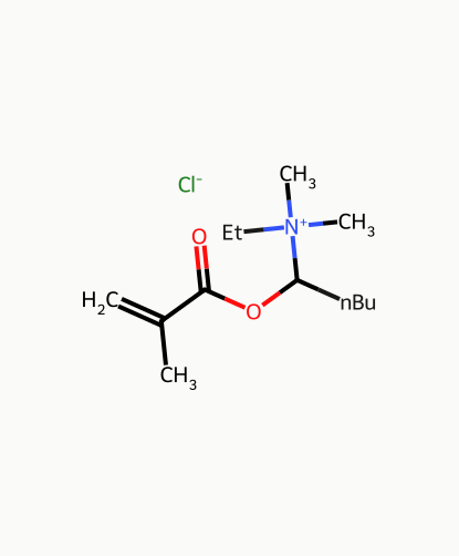 C=C(C)C(=O)OC(CCCC)[N+](C)(C)CC.[Cl-]